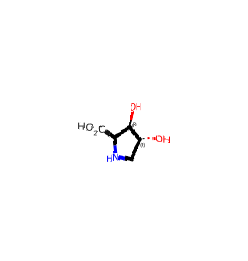 O=C(O)C1NC[C@@H](O)[C@@H]1O